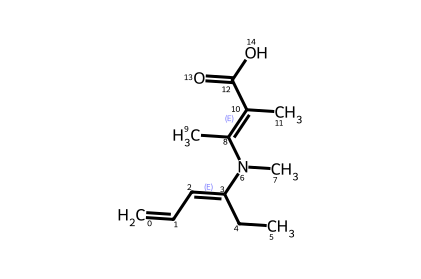 C=C/C=C(\CC)N(C)/C(C)=C(\C)C(=O)O